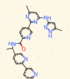 Cc1cc(Nc2cc(C)[nH]n2)nc(-c2ccc(C(=O)NC(C)c3ccc(-c4cccnc4)nc3)nc2)n1